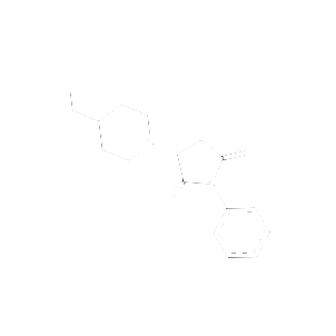 CCC1CCN([C@@H]2CC(=O)N(c3ccccc3)C2=O)CC1